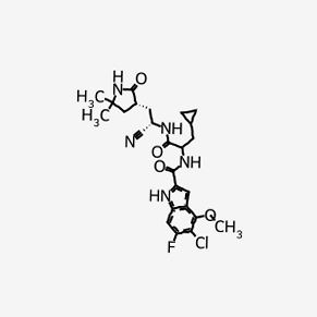 COc1c(Cl)c(F)cc2[nH]c(C(=O)NC(CC3CC3)C(=O)N[C@H](C#N)C[C@@H]3CC(C)(C)NC3=O)cc12